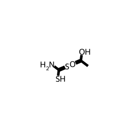 CC(=O)O.NC(=S)S